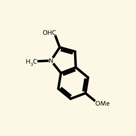 COc1ccc2c(c1)cc(C=O)n2C